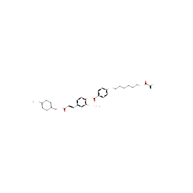 C=C(C)C(=O)OCCCCCCOc1ccc(C(=O)Oc2ccc(/C=C/C(=O)OCC3CCC(CCC)CC3)cc2OC)cc1